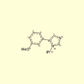 COc1cccc(-c2cncn2C(C)C)c1